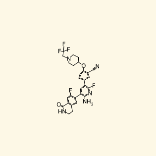 N#Cc1cc(-c2cc(-c3cc4c(cc3F)C(=O)NCC4)c(N)nc2F)ccc1OC1CCN(CC(F)(F)F)CC1